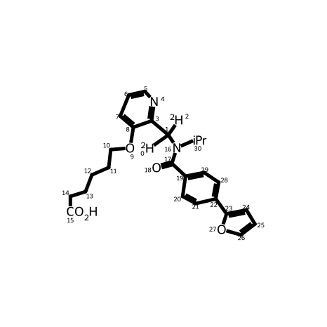 [2H]C([2H])(c1ncccc1OCCCCCC(=O)O)N(C(=O)c1ccc(-c2ccco2)cc1)C(C)C